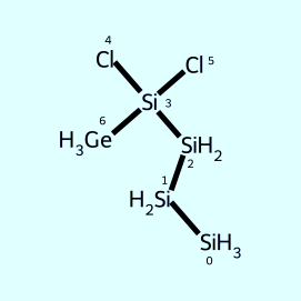 [SiH3][SiH2][SiH2][Si](Cl)(Cl)[GeH3]